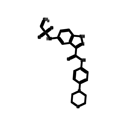 C=CS(=O)(=O)Nc1ccc2[nH]nc(C(=O)Nc3ccc(N4CCOCC4)cc3)c2c1